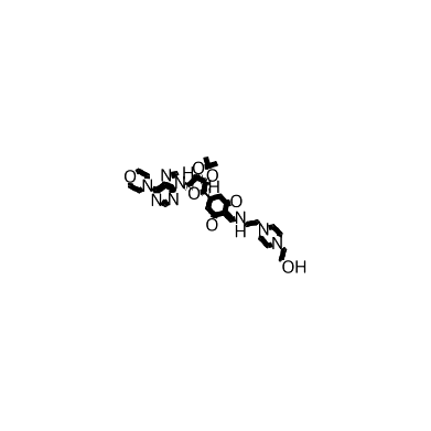 CC1(C)O[C@@H]2[C@H](O1)[C@@H](C1CC(=O)C(=CNCCN3CCN(CCO)CC3)C(=O)C1)O[C@H]2n1cnc2c(N3CCOCC3)ncnc21